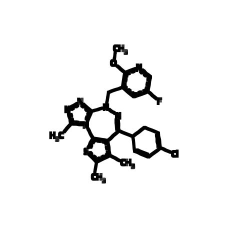 COc1ncc(F)cc1CN1N=C(C2C=CC(Cl)=CC2)c2c(sc(C)c2C)-n2c(C)nnc21